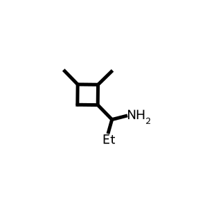 CCC(N)C1CC(C)C1C